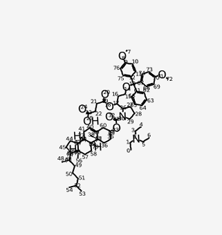 CCN(CC)CC.COc1ccc(C(OCCC(OC(=O)CCC(=O)O)C2CCCN2C(=O)O[C@H]2CC[C@@]3(C)C(=CC[C@H]4[C@@H]5CC[C@H]([C@H](C)CCCC(C)C)[C@@]5(C)CC[C@@H]43)C2)(c2ccccc2)c2ccc(OC)cc2)cc1